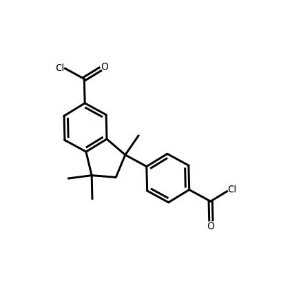 CC1(C)CC(C)(c2ccc(C(=O)Cl)cc2)c2cc(C(=O)Cl)ccc21